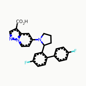 O=C(O)c1cnn2ccc(N3CCCC3c3cc(F)ccc3-c3ccc(F)cc3)cc12